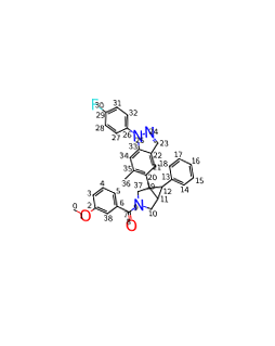 COc1cccc(C(=O)N2CC3C(c4ccccc4)C3(c3cc4cnn(-c5ccc(F)cc5)c4cc3C)C2)c1